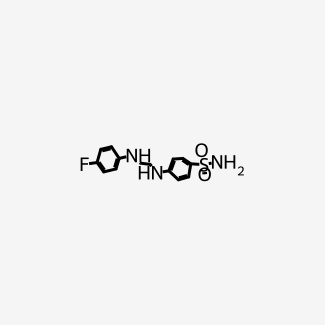 NS(=O)(=O)c1ccc(NCCNc2ccc(F)cc2)cc1